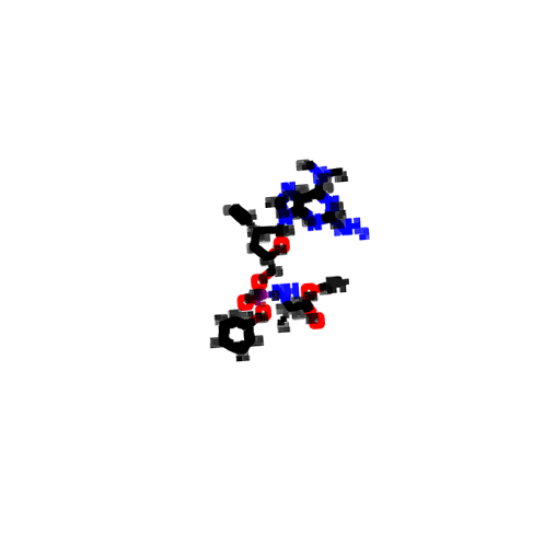 C#C[C@H]1C[C@@H](CO[P@@](=O)(N[C@@H](C)C(=O)OC(C)C)Oc2ccccc2)O[C@H]1n1cnc2c(N(C)C)nc(N)nc21